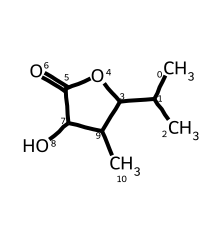 CC(C)C1OC(=O)C(O)C1C